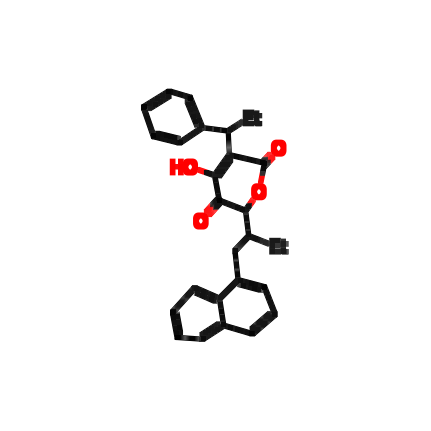 CCC(C1=C(O)C(=O)C(C(CC)Cc2cccc3ccccc23)OC1=O)c1ccccc1